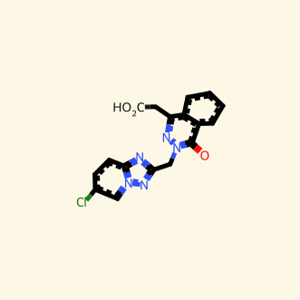 O=C(O)Cc1nn(Cc2nc3ccc(Cl)cn3n2)c(=O)c2ccccc12